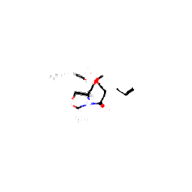 C=CC[C@@H]1C(=O)N2[C@H](C(C)(C)C)OC[C@@]2(C(=O)OC)C1(C)C